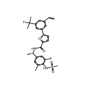 C=Cc1cc(-c2ccc(C(=O)N[C@H](C)c3cc(F)c(NS(C)(=O)=O)c(F)c3)o2)cc(C(F)(F)F)c1